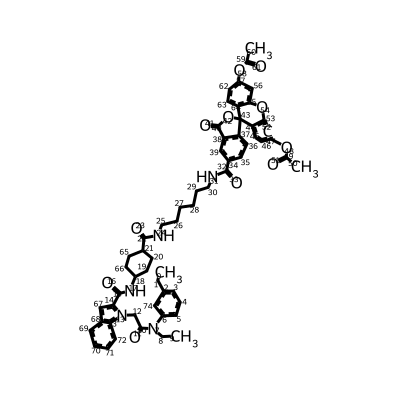 CCc1cccc(N(CC)C(=O)Cn2c(C(=O)NC3CCC(C(=O)NCCCCCCNC(=O)c4ccc5c(c4)C(=O)OC54c5ccc(OC(C)=O)cc5Oc5cc(OC(C)=O)ccc54)CC3)cc3ccccc32)c1